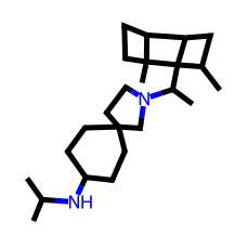 CC(C)NC1CCC2(CC1)CCN(C(C)C13C(C)CC1C1CCC13C)C2